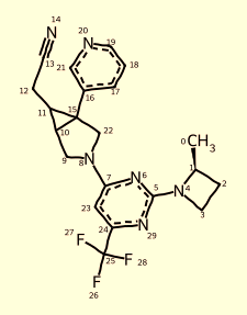 C[C@H]1CCN1c1nc(N2CC3C(CC#N)C3(c3cccnc3)C2)cc(C(F)(F)F)n1